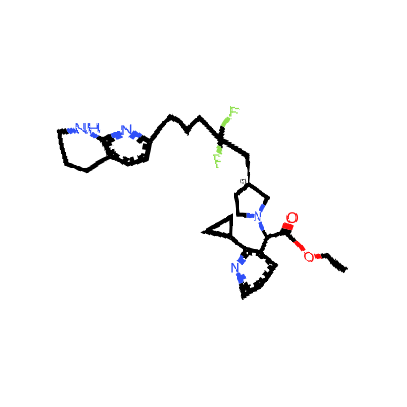 CCOC(=O)C(c1cccnc1C1CC1)N1CC[C@@H](CC(F)(F)CCCc2ccc3c(n2)NCCC3)C1